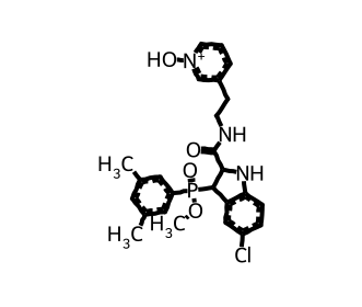 COP(=O)(c1cc(C)cc(C)c1)C1c2cc(Cl)ccc2NC1C(=O)NCCc1ccc[n+](O)c1